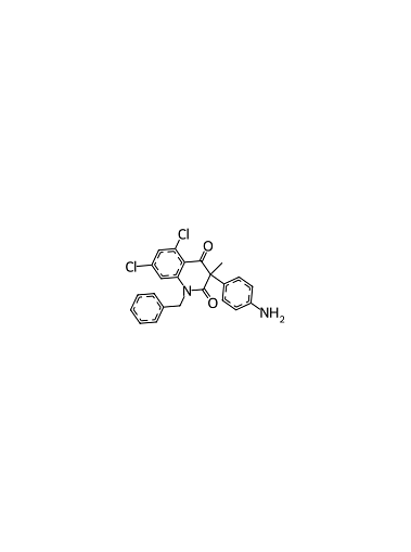 CC1(c2ccc(N)cc2)C(=O)c2c(Cl)cc(Cl)cc2N(Cc2ccccc2)C1=O